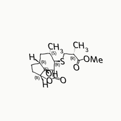 COC(=O)[C@@H](C)CS[C@H]1C2C(=O)O[C@@H]3CC[C@H](C[C@@H]1C)[C@]23O